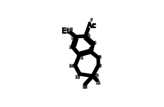 CCc1cc2c(cc1C(C)=O)CCC(C)(C)CC2